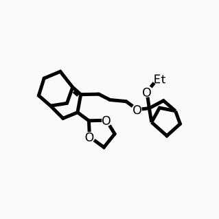 CCOC1(OCCCC2=C3CCCC(C3)CC2C2OCCO2)CC2CCC1C2